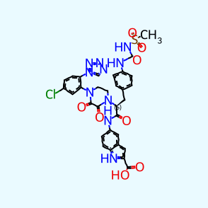 CS(=O)(=O)NC(=O)Nc1ccc(C[C@@H](C(=O)Nc2ccc3[nH]c(C(=O)O)cc3c2)N2CCN(c3cc(Cl)ccc3-n3cnnn3)C(=O)C2=O)cc1